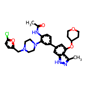 CC(=O)Nc1ccc(-c2cc(OC3CCOCC3)c3c(C)n[nH]c3c2)cc1N1CCN(Cc2ccc(Cl)o2)CC1